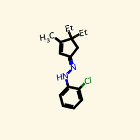 CCC1(CC)C/C(=N/Nc2ccccc2Cl)C=C1C